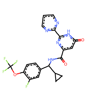 O=C(NC(c1ccc(OC(F)(F)F)c(F)c1)C1CC1)c1cc(=O)[nH]c(-c2ncccn2)n1